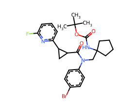 CC(C)(C)OC(=O)NC1(CN(C(=O)C2CC2c2cccc(F)n2)c2ccc(Br)cc2)CCCC1